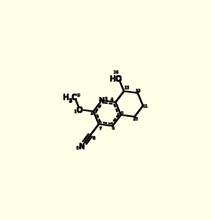 COc1nc2c(cc1C#N)CCCC2O